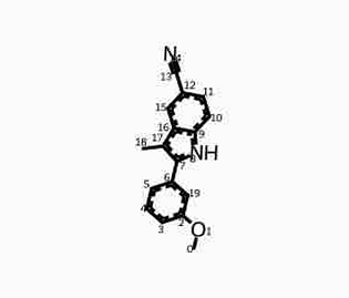 COc1cccc(-c2[nH]c3ccc(C#N)cc3c2C)c1